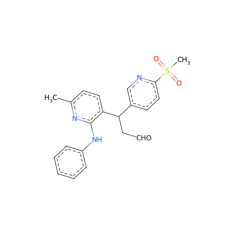 Cc1ccc(C(CC=O)c2ccc(S(C)(=O)=O)nc2)c(Nc2ccccc2)n1